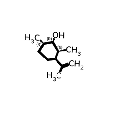 C=C(C)C1CC[C@@H](C)[C@@H](O)[C@H]1C